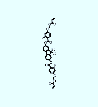 C=CC(=O)OCOc1ccc(C(=O)Oc2ccc3c(c2)C(CC)(CC)c2cc(OC(=O)c4ccc(OCOC(=O)C=C)cc4F)ccc2-3)c(F)c1